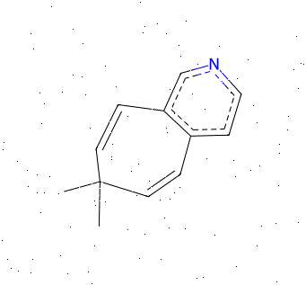 CC1(C)C=Cc2ccncc2C=C1